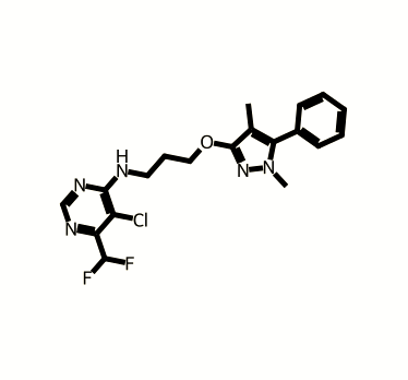 Cc1c(OCCCNc2ncnc(C(F)F)c2Cl)nn(C)c1-c1ccccc1